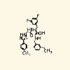 CCc1cccc(CNC[C@H](O)[C@H](Cc2cc(F)cc(F)c2)NC(=O)Cn2nnc(-c3ccc(C)cc3)n2)c1